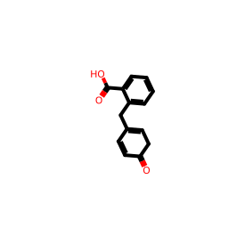 O=C1C=CC(Cc2ccccc2C(=O)O)=CC1